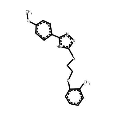 COc1ccc(-c2nnc(SCCOc3ccccc3C)[nH]2)cc1